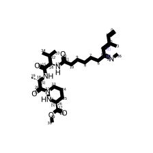 C=C/C(C)=C/C(CCCCCC(=O)N[C@H](C(=O)N[C@@H](C)C(=O)N1CCC[C@@H](C(=O)OC)N1)C(C)C)=N\C